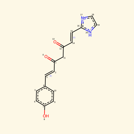 O=C(/C=C/c1ccc(O)cc1)CC(=O)/C=C/c1ncc[nH]1